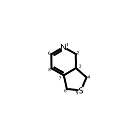 C1=NCC2CSCC2=C1